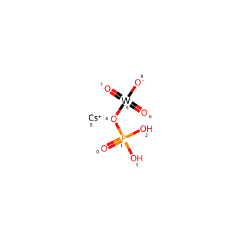 O=P(O)(O)[O][W](=[O])(=[O])[O-].[Cs+]